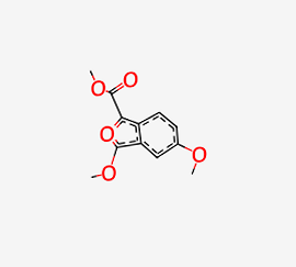 COC(=O)c1oc(OC)c2cc(OC)ccc12